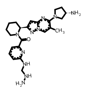 Cc1cn2nc([C@@H]3CCCCN3C(=O)c3cccc(NCNN)n3)cc2nc1N1CC[C@H](N)C1